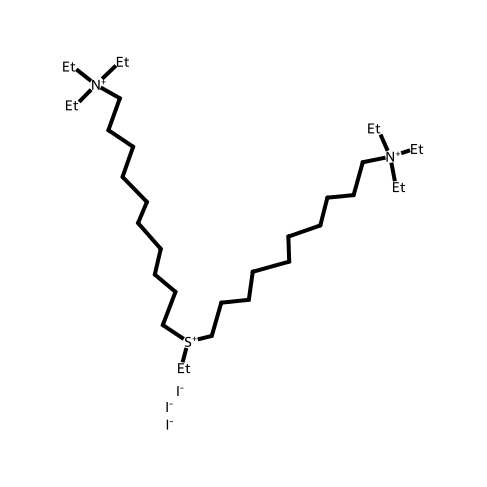 CC[S+](CCCCCCCCCC[N+](CC)(CC)CC)CCCCCCCCCC[N+](CC)(CC)CC.[I-].[I-].[I-]